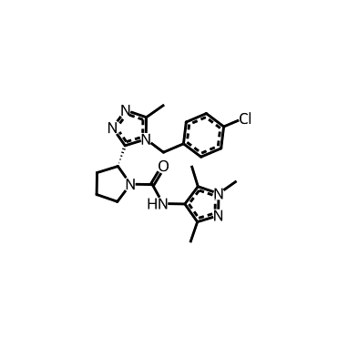 Cc1nn(C)c(C)c1NC(=O)N1CCC[C@@H]1c1nnc(C)n1Cc1ccc(Cl)cc1